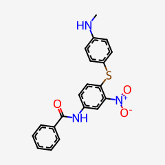 CNc1ccc(Sc2ccc(NC(=O)c3ccccc3)cc2[N+](=O)[O-])cc1